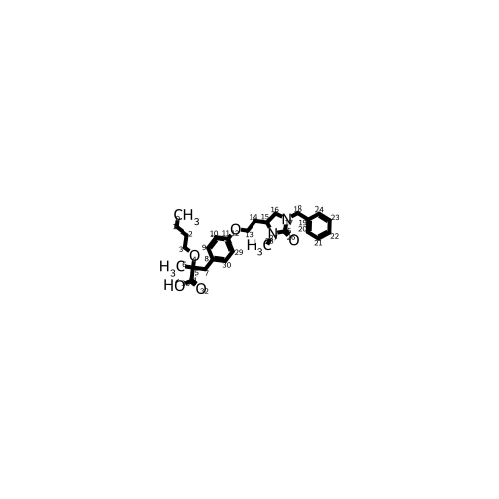 CCCCOC(C)(Cc1ccc(OCCC2CN(Cc3ccccc3)C(=O)N2C)cc1)C(=O)O